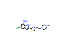 CC(=O)N1CCN(CCC2CSC(c3cc4cc(Cl)cc(N)c4[nH]3)=N2)CC1